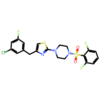 O=S(=O)(c1c(F)cccc1F)N1CCN(c2nc(Cc3cc(F)cc(Cl)c3)cs2)CC1